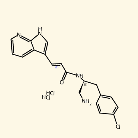 Cl.Cl.NC[C@H](Cc1ccc(Cl)cc1)NC(=O)/C=C/c1c[nH]c2ncccc12